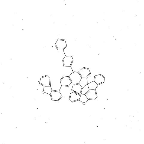 c1ccc(-c2ccc(N(c3ccc(-c4cccc5sc6ccccc6c45)cc3)c3cccc4c3-c3ccccc3C43c4ccccc4-c4ccc5oc6ccccc6c5c43)cc2)cc1